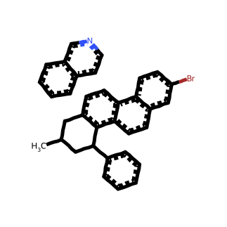 CC1Cc2ccc3c(ccc4cc(Br)ccc43)c2C(c2ccccc2)C1.c1ccc2cnccc2c1